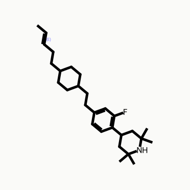 C/C=C/CCC1CCC(CCc2ccc(C3CC(C)(C)NC(C)(C)C3)c(F)c2)CC1